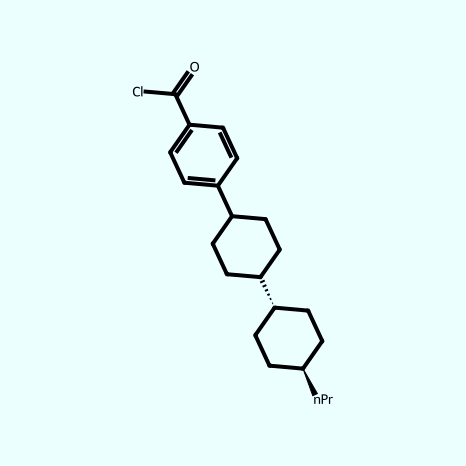 CCC[C@H]1CC[C@H](C2CCC(c3ccc(C(=O)Cl)cc3)CC2)CC1